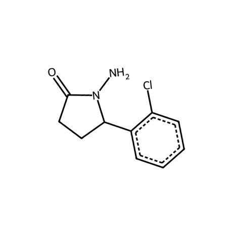 NN1C(=O)CCC1c1ccccc1Cl